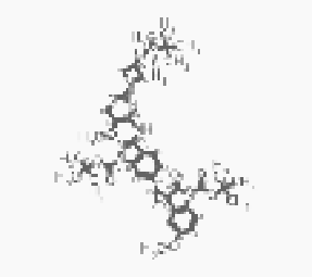 COc1ccc2c(c1)[C@]1(C[C@H]1c1ccc3c(Nc4nc(N5CC(O[Si](C)(C)C(C)(C)C)C5)ncc4OC)nn(C(=O)OC(C)(C)C)c3c1)C(=O)N2C(=O)OC(C)(C)C